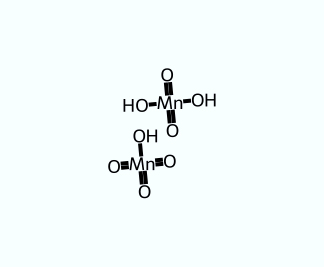 [O]=[Mn](=[O])(=[O])[OH].[O]=[Mn](=[O])([OH])[OH]